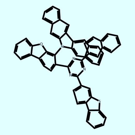 c1ccc2cc(-c3nc(-c4ccc5c(c4)sc4ccccc45)nc(-c4ccc5c(oc6ccccc65)c4-n4c5cc6ccccc6cc5c5cc6ccccc6cc54)n3)ccc2c1